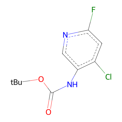 CC(C)(C)OC(=O)Nc1cnc(F)cc1Cl